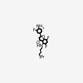 CC(C)CCCCNc1c(F)cc(F)c2oc(-c3ccc(N)c(F)c3)cc(=O)c12